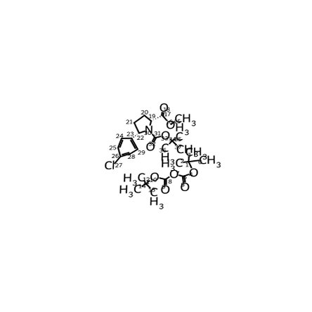 CC(C)(C)OC(=O)OC(=O)OC(C)(C)C.COC(=O)[C@H]1CC[C@@H](c2ccc(Cl)cc2)N1C(=O)OC(C)(C)C